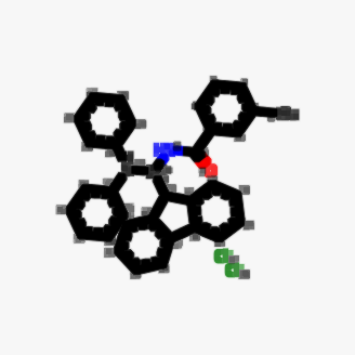 CC(C)(C)c1cccc(C(=O)[NH][Zr+2]([CH]2c3ccccc3-c3ccccc32)[SiH](c2ccccc2)c2ccccc2)c1.[Cl-].[Cl-]